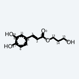 O=C(/C=C/c1ccc(O)c(O)c1)OCCCO